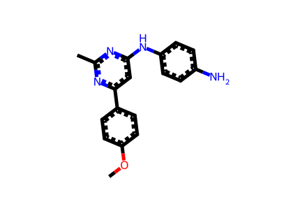 COc1ccc(-c2cc(Nc3ccc(N)cc3)nc(C)n2)cc1